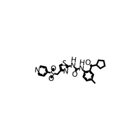 Cc1ccc(NC(=O)Nc2nc(CS(=O)(=O)c3ccncc3)cs2)c(C(=O)C2CCCC2)c1